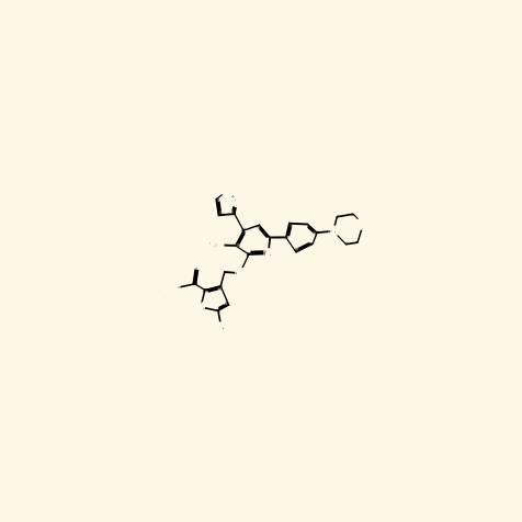 COC(=O)c1sc([N+](=O)[O-])cc1COc1nc(-c2ccc(N3CCOCC3)cc2)cc(-c2ccon2)c1C#N